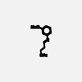 COc1cccc(N=CCCOC(C)=O)c1